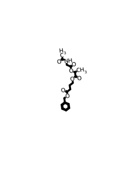 CC(=O)NCC(=O)OC(C)C(=O)OCCCC(=O)OCc1ccccc1